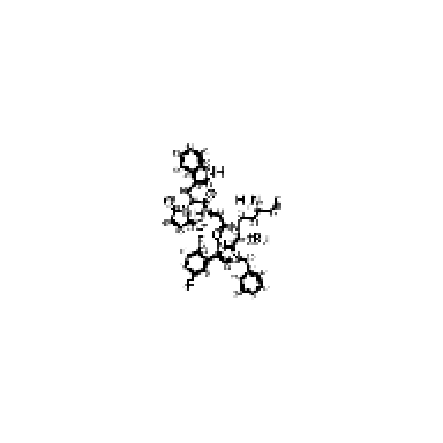 CC(C)(C)[C@H](c1nc(-c2cc(F)ccc2F)cn1Cc1ccccc1)N(CC[C@H](N)CF)C(=O)CNC(=O)[C@H](Cc1c[nH]c2ccccc12)N1C(=O)C=CC1=O